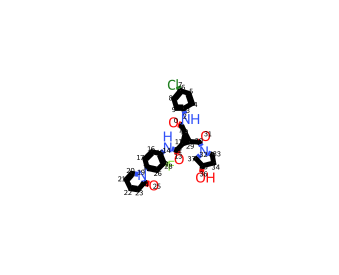 O=C(Nc1ccc(Cl)cc1)C1C(C(=O)Nc2ccc(-n3ccccc3=O)cc2F)C1C(=O)N1CCC(O)C1